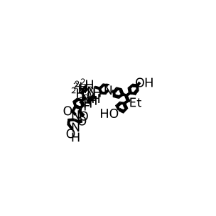 [2H]C1([2H])N(CC2CCN(c3ccc(C(=C(CC)c4ccc(O)cc4)c4ccc(O)cc4)cc3)CC2)C([2H])([2H])C([2H])([2H])N(c2ccc3c(c2F)C(=O)N(C2CCC(=O)NC2=O)C3=O)C1([2H])[2H]